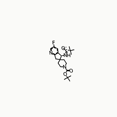 CC(C)(C)OC(=O)N1CCC2(CC1)Cc1ncc(F)cc1[C@H]2N[S+]([O-])C(C)(C)C